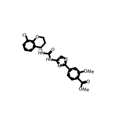 COC(=O)c1ccc(-c2nc(NC(=O)N[C@H]3CCOc4c(Cl)cccc43)cs2)cc1OC